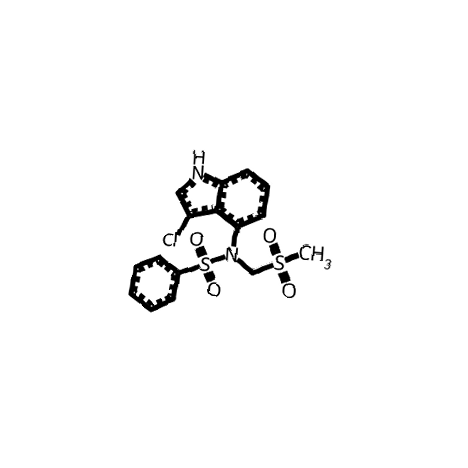 CS(=O)(=O)CN(c1cccc2[nH]cc(Cl)c12)S(=O)(=O)c1ccccc1